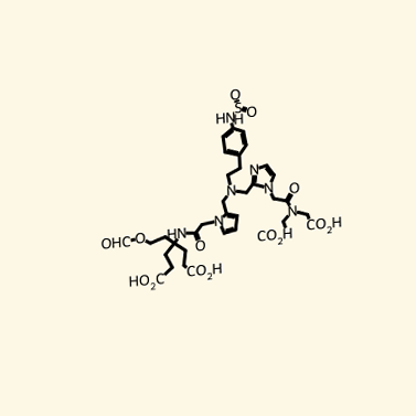 O=COCCC(CCC(=O)O)(CCC(=O)O)NC(=O)Cn1cccc1CN(CCc1ccc(N[SH](=O)=O)cc1)Cc1nccn1CC(=O)N(CC(=O)O)CC(=O)O